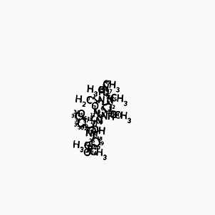 C=CC(=O)Nc1cc(Nc2nccc(-c3[nH]c(-c4cccc(P(C)(C)=O)c4)nc3-c3ccc4ccoc4c3)n2)c(OC)cc1N(C)CCN(C)C